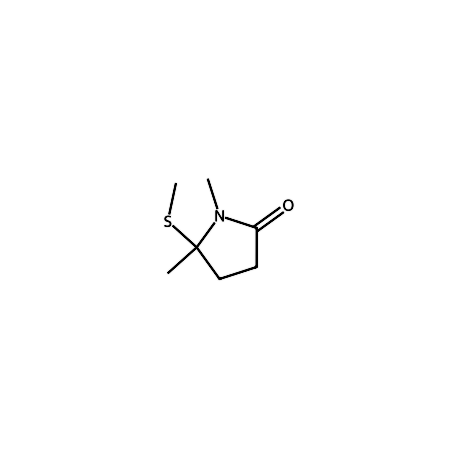 CSC1(C)CCC(=O)N1C